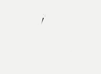 N[C@@]1(CO)CCc2c(Br)cccc2C1